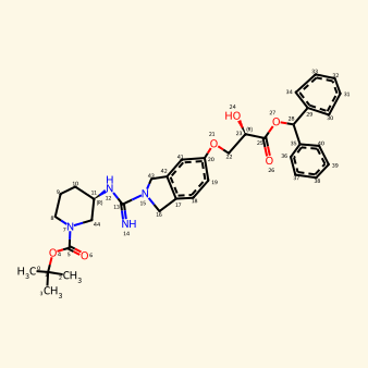 CC(C)(C)OC(=O)N1CCC[C@@H](NC(=N)N2Cc3ccc(OC[C@@H](O)C(=O)OC(c4ccccc4)c4ccccc4)cc3C2)C1